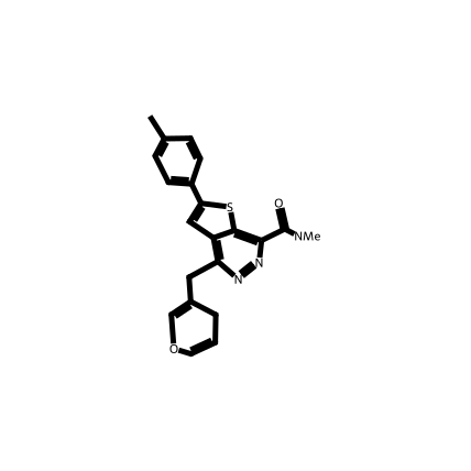 CNC(=O)c1nnc(CC2=COC=CC2)c2cc(-c3ccc(C)cc3)sc12